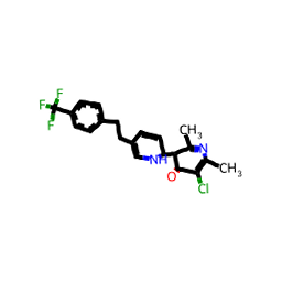 CC1=NC(C)=C(Cl)C(=O)C1C1C=CC(CCc2ccc(C(F)(F)F)cc2)=CN1